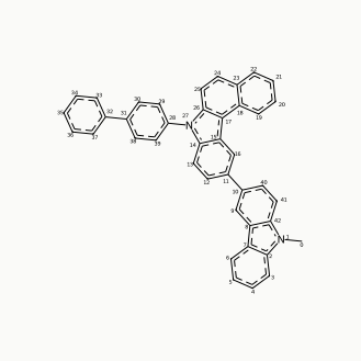 Cn1c2ccccc2c2cc(-c3ccc4c(c3)c3c5ccccc5ccc3n4-c3ccc(-c4ccccc4)cc3)ccc21